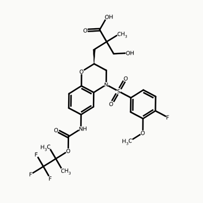 COc1cc(S(=O)(=O)N2C[C@H](CC(C)(CO)C(=O)O)Oc3ccc(NC(=O)OC(C)(C)C(F)(F)F)cc32)ccc1F